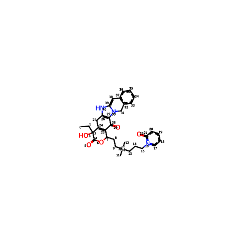 CCC1(O)C(=O)OC(CC[Si](C)(C)CCCn2ccccc2=O)C2=C1CC1=C(C2=O)N2Cc3ccccc3C=C2N1